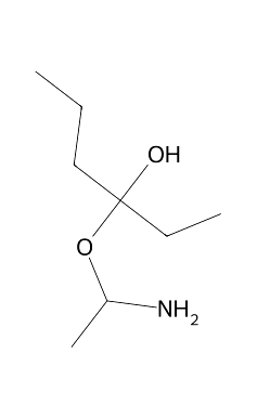 CCCC(O)(CC)OC(C)N